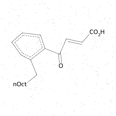 CCCCCCCCCc1ccccc1C(=O)/C=C/C(=O)O